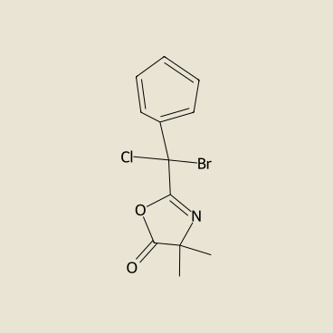 CC1(C)N=C(C(Cl)(Br)c2ccccc2)OC1=O